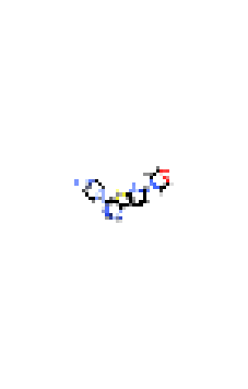 c1cc2c(nc1N1CCOCC1)sc1c(N3CCNCC3)nnnc12